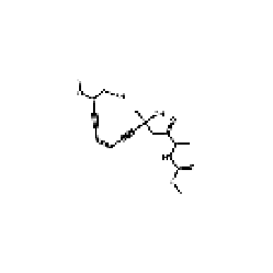 COC(=O)NC(C)C(=O)C[C@@](C)(O)C#C/C=C\C#CC(OC)SS